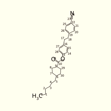 CCCCCCC1CCC(C(=O)Oc2ccc(CCc3ccc(C#N)cc3)cc2)CC1